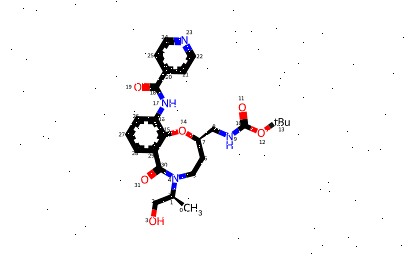 C[C@@H](CO)N1CC[C@H](CNC(=O)OC(C)(C)C)Oc2c(NC(=O)c3ccncc3)cccc2C1=O